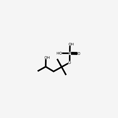 CC(O)CC(C)(C)OP(=O)(O)O